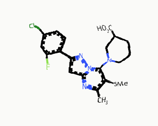 CSc1c(C)nc2cc(-c3ccc(Cl)cc3F)nn2c1N1CCCC(C(=O)O)C1